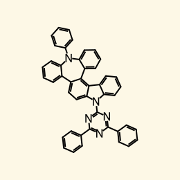 c1ccc(-c2nc(-c3ccccc3)nc(-n3c4ccccc4c4c5c(ccc43)-c3ccccc3N(c3ccccc3)c3ccccc3-5)n2)cc1